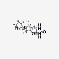 Cc1cc(/C=C2/NC(=O)NC2=O)c(C)n1-c1cccnc1